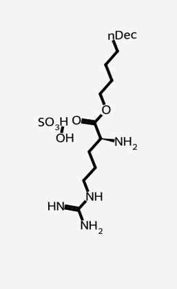 CCCCCCCCCCCCCCOC(=O)[C@@H](N)CCCNC(=N)N.O=S(=O)(O)O